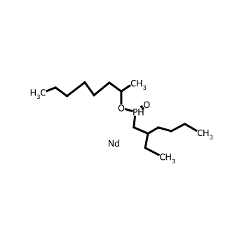 CCCCCCC(C)O[PH](=O)CC(CC)CCCC.[Nd]